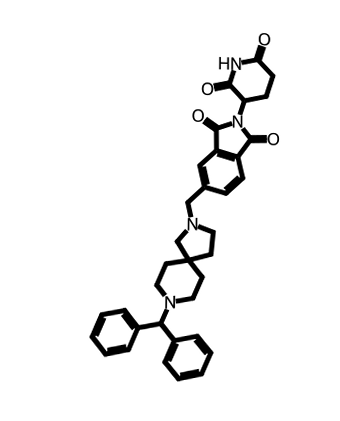 O=C1CCC(N2C(=O)c3ccc(CN4CCC5(CCN(C(c6ccccc6)c6ccccc6)CC5)C4)cc3C2=O)C(=O)N1